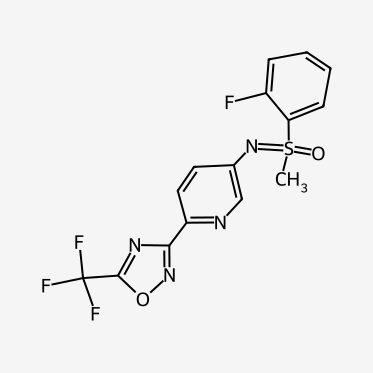 CS(=O)(=Nc1ccc(-c2noc(C(F)(F)F)n2)nc1)c1ccccc1F